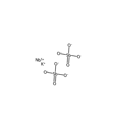 [K+].[Nb+5].[O]=[Sb]([O-])([O-])[O-].[O]=[Sb]([O-])([O-])[O-]